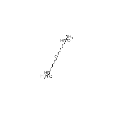 NC(=O)NCCCCCC=COC=CCCCCCNC(N)=O